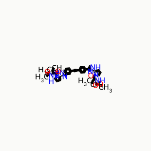 COC(=O)N[C@H](C(=O)N1CCC[C@H]1c1nc(-c2ccc(C#Cc3ccc4[nH]c([C@@H]5CCCN5C(=O)[C@@H](NC(C)=O)C(C)C)nc4c3)cc2)c[nH]1)C(C)C